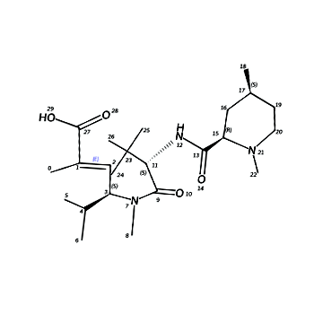 C/C(=C\[C@H](C(C)C)N(C)C(=O)[C@@H](NC(=O)[C@H]1C[C@@H](C)CCN1C)C(C)(C)C)C(=O)O